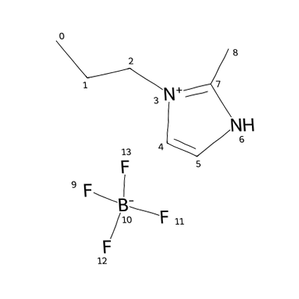 CCC[n+]1cc[nH]c1C.F[B-](F)(F)F